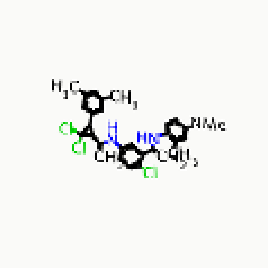 C=C(Nc1ccc(NC)cc1C)c1cc(NC(=C)C2C(c3cc(C)cc(C)c3)C2(Cl)Cl)ccc1Cl